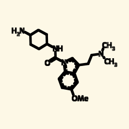 COc1ccc2c(c1)c(CCN(C)C)cn2C(=O)NC1CCC(N)CC1